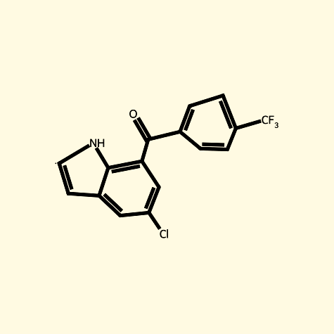 O=C(c1ccc(C(F)(F)F)cc1)c1cc(Cl)cc2c[c][nH]c12